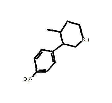 CC1CCNCC1c1ccc([N+](=O)[O-])cc1